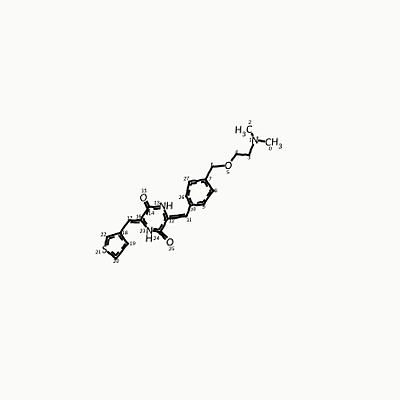 CN(C)CCOCc1ccc(C=c2[nH]c(=O)c(=Cc3ccsc3)[nH]c2=O)cc1